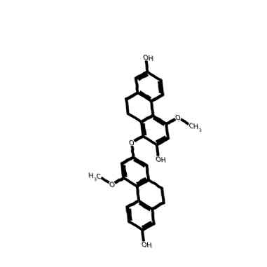 COc1cc(Oc2c(O)cc(OC)c3c2CCc2cc(O)ccc2-3)cc2c1-c1ccc(O)cc1CC2